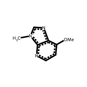 COc1ccnc2c1ncn2C